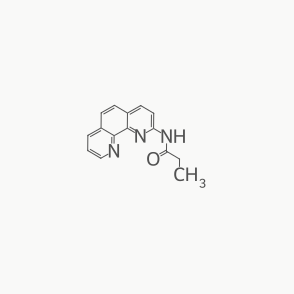 CCC(=O)Nc1ccc2ccc3cccnc3c2n1